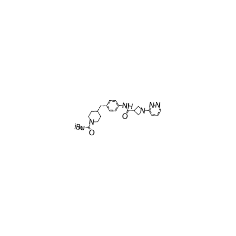 CC[C@H](C)C(=O)N1CCC(Cc2ccc(NC(=O)C3CN(c4cccnn4)C3)cc2)CC1